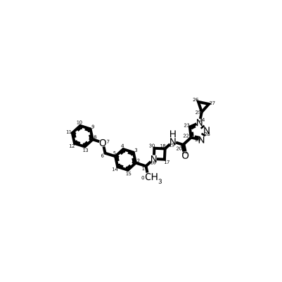 CC(c1ccc(COc2ccccc2)cc1)N1CC(NC(=O)c2cn(C3CC3)nn2)C1